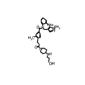 Cc1cc(C(=O)N2Cc3cnn(C)c3Nc3ccccc32)ccc1CCC(=O)N1CCC(NCCCO)CC1